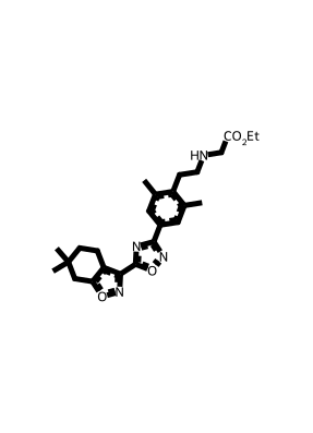 CCOC(=O)CNCCc1c(C)cc(-c2noc(-c3noc4c3CCC(C)(C)C4)n2)cc1C